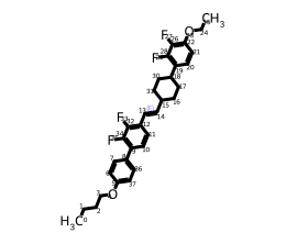 CCCCOc1ccc(-c2ccc(/C=C/C3CCC(c4ccc(OCC)c(F)c4F)CC3)c(F)c2F)cc1